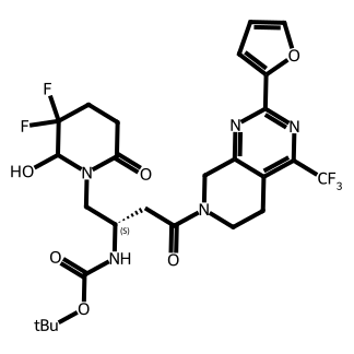 CC(C)(C)OC(=O)N[C@@H](CC(=O)N1CCc2c(nc(-c3ccco3)nc2C(F)(F)F)C1)CN1C(=O)CCC(F)(F)C1O